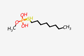 CCCCCCCC[SH]=P(O)(O)OC